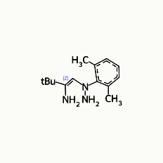 Cc1cccc(C)c1N(N)/C=C(\N)C(C)(C)C